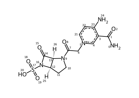 NC(=O)c1c[n+](CC(=O)N2CC[C@@H]3[C@H]2C(=O)N3S(=O)(=O)O)ccc1N